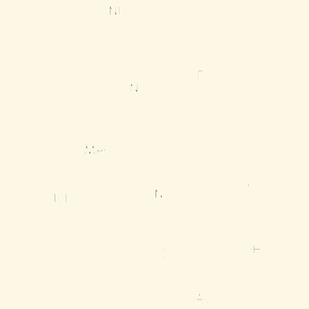 COc1c(N2CC[C@H](N)C2)c(F)cc2c(=O)c3c(O)c(C(C)=O)sc3n(C3CC3)c12.Cl